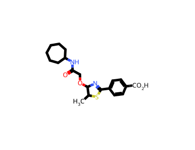 CC1SC(c2ccc(C(=O)O)cc2)=NC1OCC(=O)NC1CCCCCC1